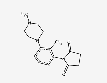 Cc1c(N2C(=O)CCC2=O)[c]ccc1N1CCN(C)CC1